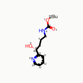 CC(C)(C)OC(=O)NCCC[C@@H](O)c1ccccn1